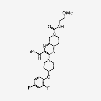 COCCNC(=O)N1CCc2nc(N3CCC(Oc4ccc(F)cc4F)CC3)c(NC(C)C)nc2C1